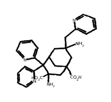 NC1(Cc2ccccn2)CC2CC(C(=O)O)(C1)CC(N)(C(=O)O)C2(c1ccccn1)c1ccccn1